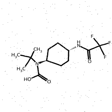 CC(C)(C)N(C(=O)O)[C@H]1CC[C@H](NC(=O)C(F)(F)F)CC1